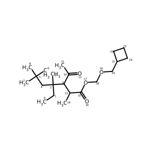 CCC(C)(CC(C)(C)C)C(C(C)=O)C(C)C(=O)OCOCC1CCC1